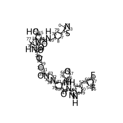 Cc1ncsc1-c1ccc(CNC(=O)[C@@H]2C[C@@H](O)CN2C(=O)C(NC(=O)COCCOCC(=O)N2CCN(c3ccc(C(=O)Nc4n[nH]c5ccc(Cc6cc(F)cc(F)c6)cc45)c(NC4CCOCC4)c3)CC2)C(C)(C)C)cc1